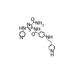 NC(=O)c1nc(Nc2ccncc2)sc1NC(=O)c1ccc(NCCC2=CCNC=C2)cc1